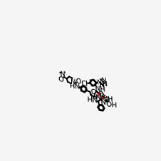 CN(C)C(=O)C1CCN(C(=O)Nc2ccc(CCC(=O)NC3c4ccccc4N(C(=O)O)C3(NC(=O)C(=O)Nc3cc(Cl)ccc3-n3cnnn3)C(=O)O)cc2)CC1